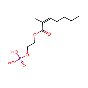 CCCCC=C(C)C(=O)OCCOP(=O)(O)O